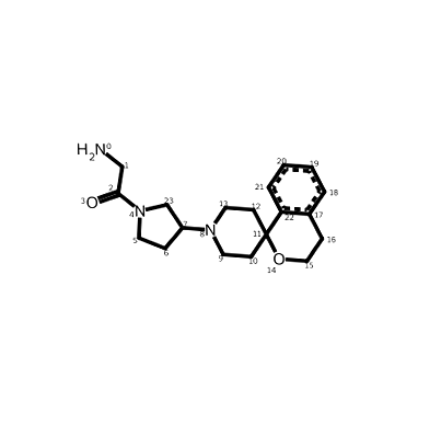 NCC(=O)N1CCC(N2CCC3(CC2)OCCc2ccccc23)C1